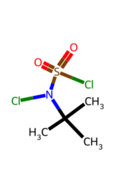 CC(C)(C)N(Cl)S(=O)(=O)Cl